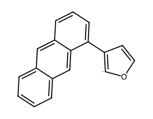 [c]1occc1-c1cccc2cc3ccccc3cc12